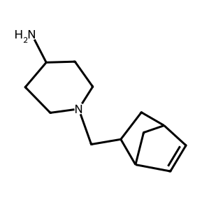 NC1CCN(CC2CC3C=CC2C3)CC1